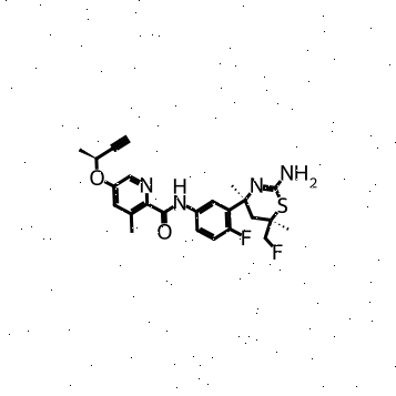 C#C[C@H](C)Oc1cnc(C(=O)Nc2ccc(F)c([C@]3(C)C[C@](C)(CF)SC(N)=N3)c2)c(C)c1